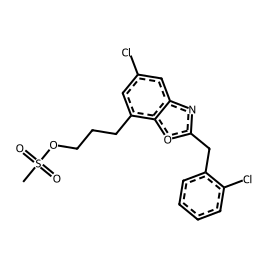 CS(=O)(=O)OCCCc1cc(Cl)cc2nc(Cc3ccccc3Cl)oc12